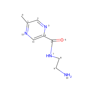 Cc1cnc(C(=O)NCCN)cn1